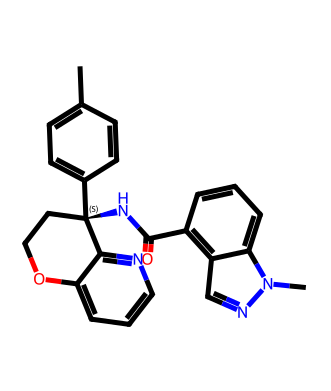 Cc1ccc([C@@]2(NC(=O)c3cccc4c3cnn4C)CCOc3cccnc32)cc1